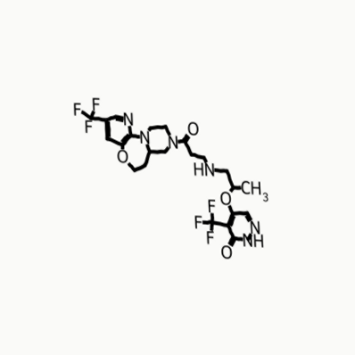 CC(CNCCC(=O)N1CCN2c3ncc(C(F)(F)F)cc3OCCC2C1)Oc1cn[nH]c(=O)c1C(F)(F)F